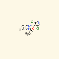 CC[Si](CC)(CC)OC(CNCC1CCC2(CC1)CC2)c1c(Cl)cncc1Cl